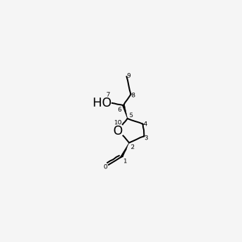 C=C[C@@H]1CC[C@H](C(O)CC)O1